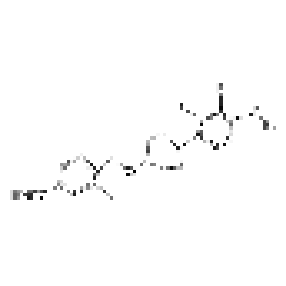 CCCCCc1ccc(COC2CCC(c3ccc(OCC)c(F)c3F)CC2)c(F)c1